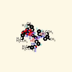 CCc1cc(CC(C)(C)C)cc2c1CCCC2NCC(O)C(Cc1cc(F)cc(F)c1)NC(=O)CC(CC(=O)NC(Cc1cc(F)cc(F)c1)C(O)CNC1CCCc2ccc(CC(C)(C)C)cc21)(C(=O)NC(Cc1cc(F)cc(F)c1)C(O)CNC1CCNc2ccc(CC(C)(C)C)cc21)C(F)C(=O)NC(Cc1cc(F)cc(F)c1)C(O)CNC1CCCc2ccc(CC(C)(C)C)cc21